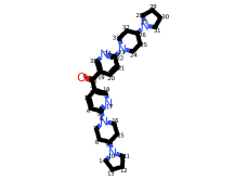 O=C(c1ccc(N2CCC(N3CCCC3)CC2)nc1)c1ccc(N2CCC(N3CCCC3)CC2)nc1